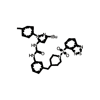 Cc1ccc(-n2nc(C(C)(C)C)cc2NC(=O)Nc2cccc(CC3CCN(S(=O)(=O)c4cccc5nsnc45)CC3)c2)cc1